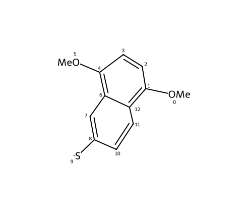 COc1ccc(OC)c2cc([S])ccc12